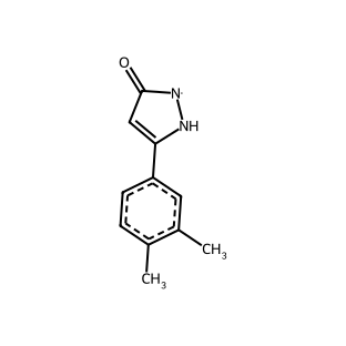 Cc1ccc(C2=CC(=O)[N]N2)cc1C